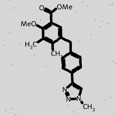 COC(=O)c1cc(Cc2ccc(-c3cn(C)nn3)cc2)c(C)c(C)c1OC